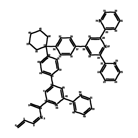 C=C/C=N\C(=C)c1cc(-c2ccc(C3(c4ccc(-c5cc(-c6ccccn6)nc(-c6ccccn6)c5)cc4)CCCCC3)cc2)cc(-c2ccccn2)n1